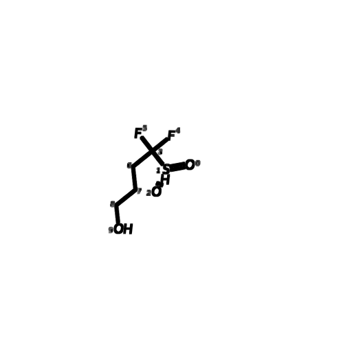 O=[SH](=O)C(F)(F)CCCO